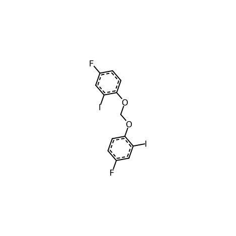 Fc1ccc(OCOc2ccc(F)cc2I)c(I)c1